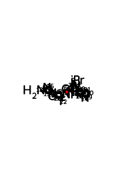 CC(C)c1cc(NC(=O)Nc2ccc(Oc3ccnc(N)c3)cc2F)n(-c2ccc3ncccc3c2)n1